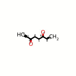 C#CC(=O)CCC(=O)C=C